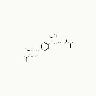 C=C(C)C(=O)OCCN(C(N)=O)c1ccc(CNC(=N)N(C(C)C)C(C)C)cc1